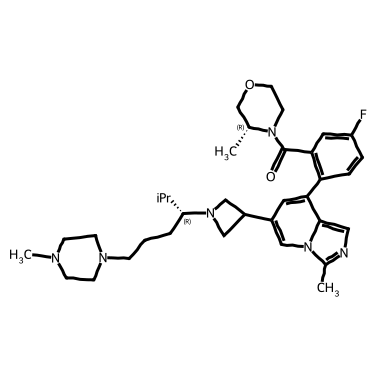 Cc1ncc2c(-c3ccc(F)cc3C(=O)N3CCOC[C@H]3C)cc(C3CN([C@H](CCCN4CCN(C)CC4)C(C)C)C3)cn12